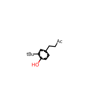 CC(=O)CCc1ccc(O)c(C(C)(C)C)c1